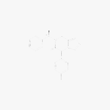 C[C@H](c1ccccc1)N1Cc2cncn2C(c2ccc(Br)cc2)C1=O